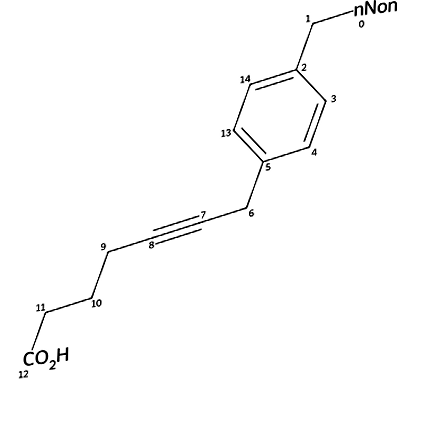 CCCCCCCCCCc1ccc(CC#CCCCC(=O)O)cc1